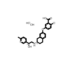 Cc1ccc([C@H](O)CN[C@H]2CCc3ccc(Oc4ccc(Cl)c(C(=O)O)c4)cc3C2)cn1.Cl.Cl